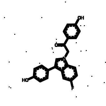 O=C(Cn1cc(-c2ccc(O)cc2)c2cc(F)ccc21)c1ccc(O)cc1